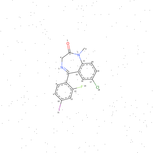 CN1C(=O)CN=C(c2ccc(I)cc2F)c2cc(Cl)ccc21